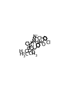 CC(C)(C)OC(=O)[C@H](Cc1ccc(NC(=O)c2c(Cl)cccc2Cl)cc1)NC(=O)C1(CCN=[N+]=[N-])CCCC1